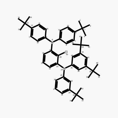 CC(C)(C)c1ccc(N(c2ccc(C(C)(C)C)cc2)c2cccc(N(c3cccc(C(C)(C)C)c3)c3cc(C(C)(C)C)cc(C(C)(C)C)c3)c2Cl)cc1